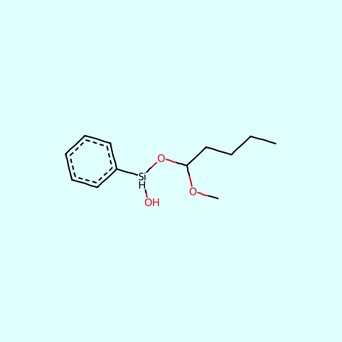 CCCCC(OC)O[SiH](O)c1ccccc1